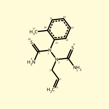 C=CCN(C(N)=S)N(C(N)=S)c1ccccc1C